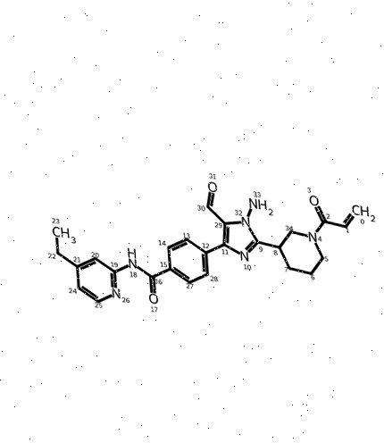 C=CC(=O)N1CCCC(c2nc(-c3ccc(C(=O)Nc4cc(CC)ccn4)cc3)c(C=O)n2N)C1